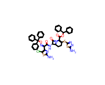 Nc1nnc(SC2=C(C(=O)OC(c3ccccc3)c3ccccc3)N3C(=O)[C@@H](NC(=O)/C(=N\OC(c4ccccc4)(c4ccccc4)c4ccccc4)c4nc(N)sc4Cl)C3CC2)s1